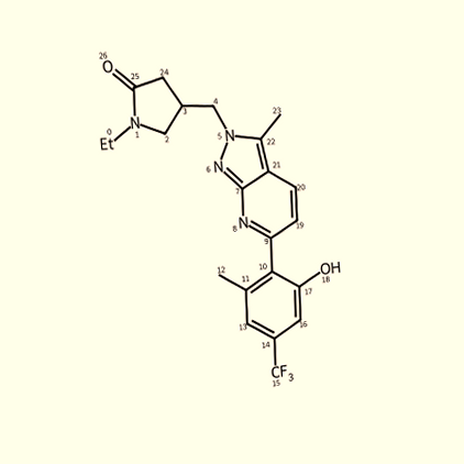 CCN1CC(Cn2nc3nc(-c4c(C)cc(C(F)(F)F)cc4O)ccc3c2C)CC1=O